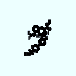 CCOC(=O)[C@@H]1Sc2cccc(OC(F)F)c2[C@H]2C[C@H]1c1nc3ccc(-c4cnc(C(C)(C)O)nc4)cc3n12